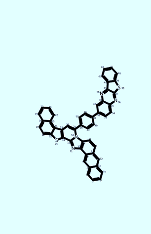 c1ccc2cc3c(ccc4c3nc3c5sc6ccc7ccccc7c6c5cc(-c5ccc(-c6ccc7nc8sc9ccccc9c8nc7c6)cc5)n43)cc2c1